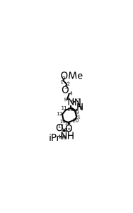 COCCOCCn1nnc2c1CCCC(OC(=O)NC(C)C)CC2